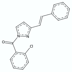 O=C(c1ccccc1Cl)n1ccc(/C=C/c2ccccc2)n1